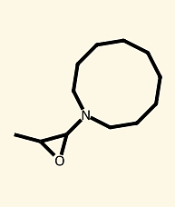 CC1OC1N1CCCCCCCCC1